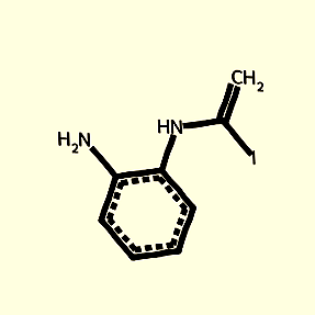 C=C(I)Nc1ccccc1N